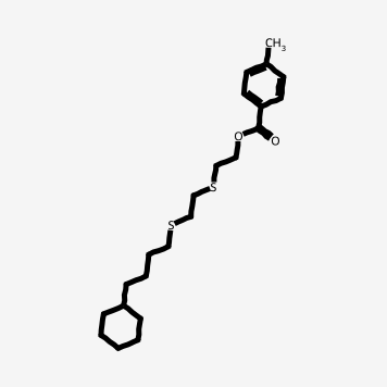 Cc1ccc(C(=O)OCCSCCSCCCCC2CCCCC2)cc1